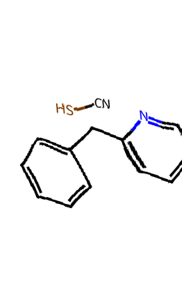 N#CS.c1ccc(Cc2ccccn2)cc1